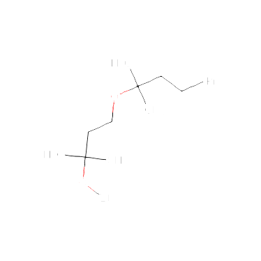 CCOC(C)(C)CCOC(C)(C)CCC(C)C